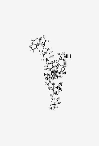 C=C(C)c1ccccc1[C@@H]1CCCN1C1CC2(CCN(c3ccc(C(=O)NS(=O)(=O)c4ccc(NCC5CCC(C)(O)CC5)c([N+](=O)[O-])c4)c(N4c5cc6cc[nH]c6nc5O[C@H]5COC[C@@H]54)c3)CC2)C1